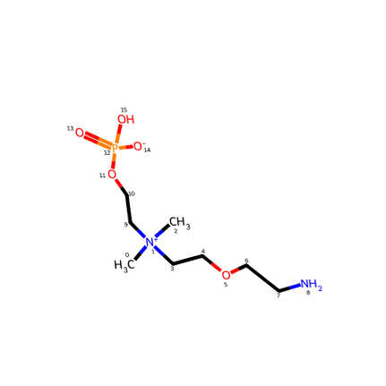 C[N+](C)(CCOCCN)CCOP(=O)([O-])O